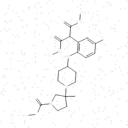 CC(C)(C)OC(=O)C(C(=O)OC(C)(C)C)c1cc(F)ccc1NC1CCN(C2(C)CCN(C(=O)OC(C)(C)C)C2)CC1